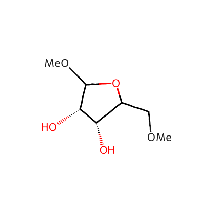 COCC1OC(OC)[C@@H](O)[C@H]1O